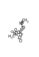 Cc1nc2c(-c3ccc(Cl)cc3F)nc(N3CCO[C@H](c4cnn(C)c4)C3)cc2c(=O)n1C1CCC1